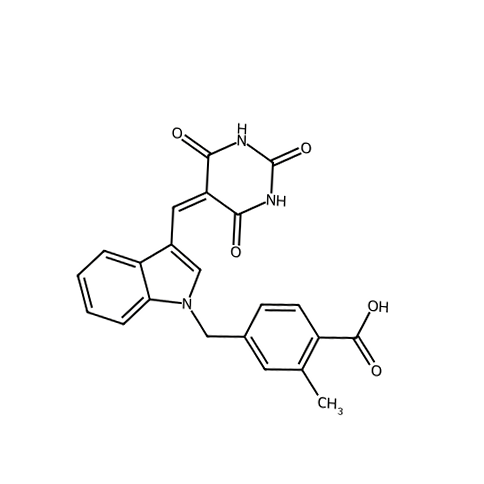 Cc1cc(Cn2cc(C=C3C(=O)NC(=O)NC3=O)c3ccccc32)ccc1C(=O)O